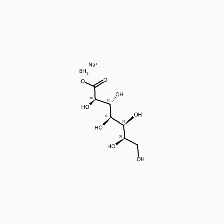 B.O=C([O-])[C@H](O)[C@H](O)[C@H](O)[C@@H](O)[C@H](O)CO.[Na+]